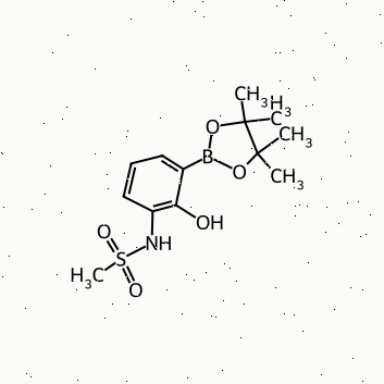 CC1(C)OB(c2cccc(NS(C)(=O)=O)c2O)OC1(C)C